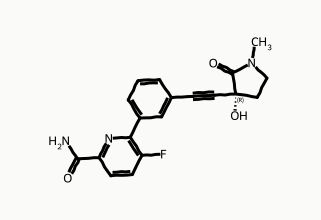 CN1CC[C@@](O)(C#Cc2cccc(-c3nc(C(N)=O)ccc3F)c2)C1=O